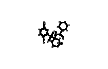 O=C(N[C@]1(S(=O)(=O)c2cc(Cl)ccc2F)CCCNC1)C1CCCCC1